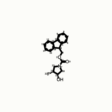 O=C(OCC1c2ccccc2-c2ccccc21)N1C[C@@H](O)[C@@H](F)C1